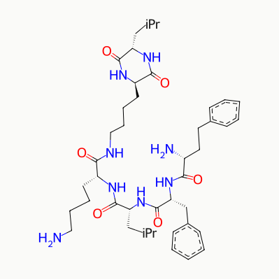 CC(C)C[C@@H]1NC(=O)[C@@H](CCCCNC(=O)[C@@H](CCCCN)NC(=O)[C@@H](CC(C)C)NC(=O)[C@@H](Cc2ccccc2)NC(=O)[C@H](N)CCc2ccccc2)NC1=O